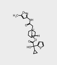 Cc1cc(NC(=O)C[N+]23CCC(CC2)[C@@H](OC(=O)C(O)(c2cccs2)C2CC2)C3)no1